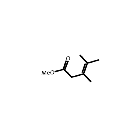 COC(=O)CC(C)=C(C)C